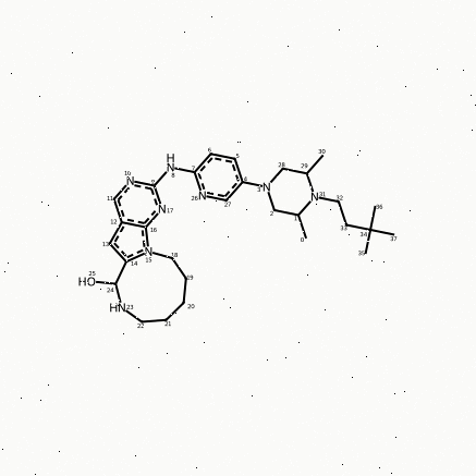 CC1CN(c2ccc(Nc3ncc4cc5n(c4n3)CCCCCNC5O)nc2)CC(C)N1CCC(C)(C)C